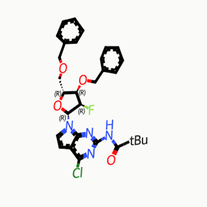 CC(C)(C)C(=O)Nc1nc(Cl)c2ccn([C@@H]3O[C@H](COCc4ccccc4)[C@@H](OCc4ccccc4)[C@H]3F)c2n1